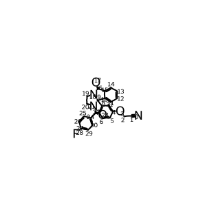 N#CCOc1cccc(C23c4ccccc4C(=O)N2CCN3C(=O)c2ccc(F)cc2)c1